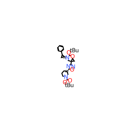 CC(C)(C)OC(=O)N1CCC[C@@H](c2nc(C3(CN(C(=O)OC(C)(C)C)[C@H]4CC4c4ccccc4)CC3)no2)C1